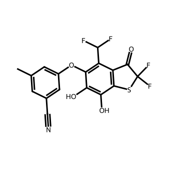 Cc1cc(C#N)cc(Oc2c(O)c(O)c3c(c2C(F)F)C(=O)C(F)(F)S3)c1